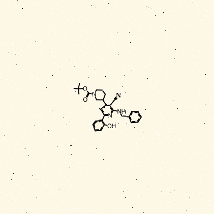 CC(C)(C)OC(=O)N1CCCC(c2cc(-c3ccccc3O)nc(NCc3ccccc3)c2C#N)C1